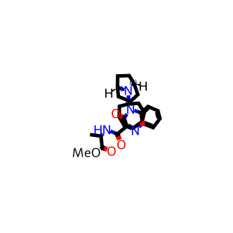 COC(=O)C(C)NC(=O)c1nc2ccccc2n([C@H]2C[C@H]3CC[C@@H](C2)N3C2CCCCCCC2)c1=O